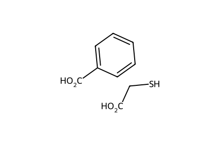 O=C(O)CS.O=C(O)c1ccccc1